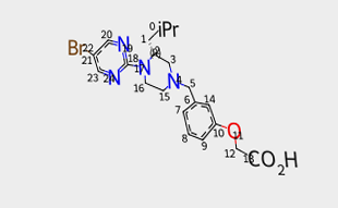 CC(C)C[C@@H]1CN(Cc2cccc(OCC(=O)O)c2)CCN1c1ncc(Br)cn1